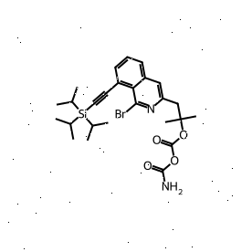 CC(C)[Si](C#Cc1cccc2cc(CC(C)(C)OC(=O)OC(N)=O)nc(Br)c12)(C(C)C)C(C)C